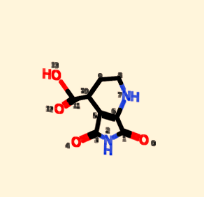 O=C1NC(=O)C2=C1NCCC2C(=O)O